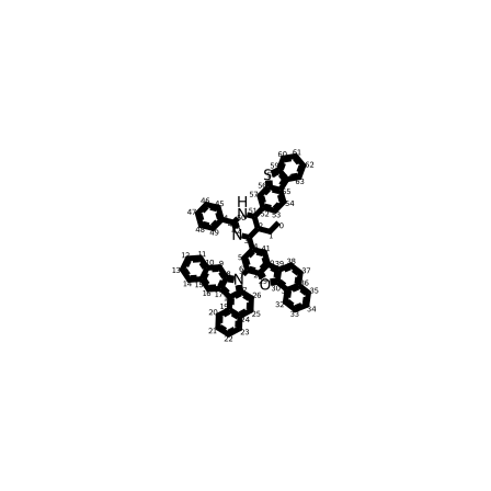 CCC1C(c2cc(-n3c4cc5ccccc5cc4c4c5ccccc5ccc43)c3oc4c5ccccc5ccc4c3c2)N=C(c2ccccc2)NC1c1ccc2c(c1)sc1ccccc12